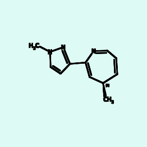 C[C@@H]1C=CC=NC(c2ccn(C)n2)=C1